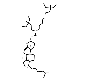 CCC(N)(CC)CCNCCCCN(CCC(N)(CC)CC)C(=O)O[C@H]1CC[C@@]2(C)C(=CC[C@H]3[C@@H]4CC[C@H]([C@H](C)CCCC(C)C)[C@@]4(C)CC[C@@H]32)C1.Cl.Cl.Cl